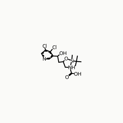 CC(C)(C)[Si](C)(C)OC(CNC(=O)O)CC(O)c1cncc(Cl)c1Cl